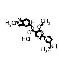 CCOc1nc(N2CCC(NC)C2)ncc1C(=O)Nc1ccc2nn(C)cc2c1.Cl